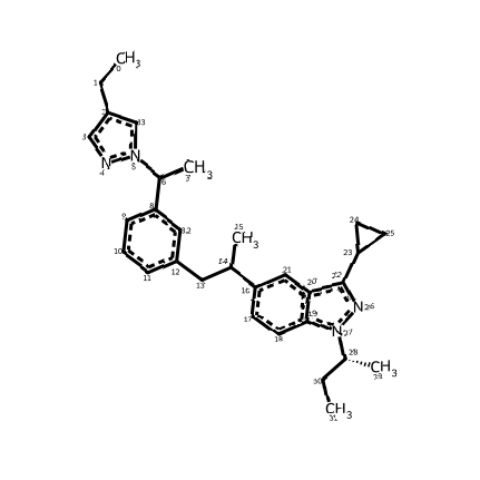 CCc1cnn(C(C)c2cccc(CC(C)c3ccc4c(c3)c(C3CC3)nn4[C@H](C)CC)c2)c1